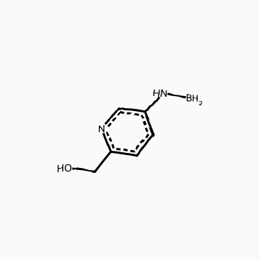 BNc1ccc(CO)nc1